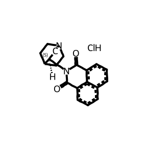 Cl.O=C1c2cccc3cccc(c23)C(=O)N1[C@@H]1CN2CCC1CC2